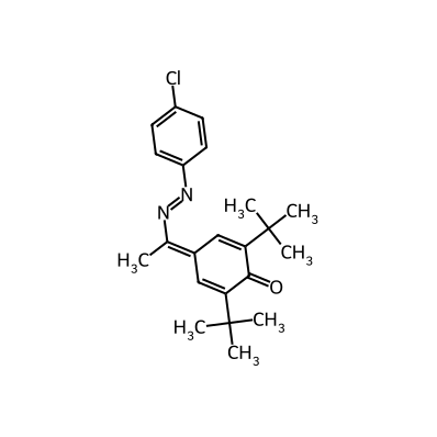 CC(N=Nc1ccc(Cl)cc1)=C1C=C(C(C)(C)C)C(=O)C(C(C)(C)C)=C1